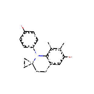 Cc1c(O)cc2c(c1C)N(c1ccc(O)cc1)C1(CC2)CC1